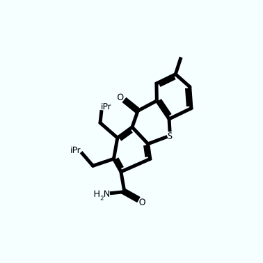 Cc1ccc2sc3cc(C(N)=O)c(CC(C)C)c(CC(C)C)c3c(=O)c2c1